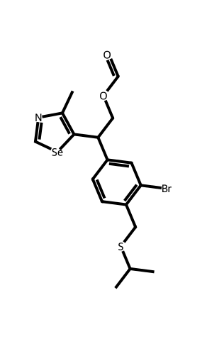 Cc1nc[se]c1C(COC=O)c1ccc(CSC(C)C)c(Br)c1